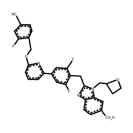 N#Cc1ccc(COc2cccc(-c3cc(F)c(Cc4nc5ccc(C(=O)O)cc5n4CC4CCO4)c(F)c3)n2)c(F)c1